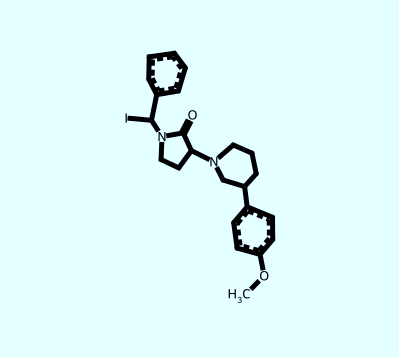 COc1ccc(C2CCCN(C3CCN(C(I)c4ccccc4)C3=O)C2)cc1